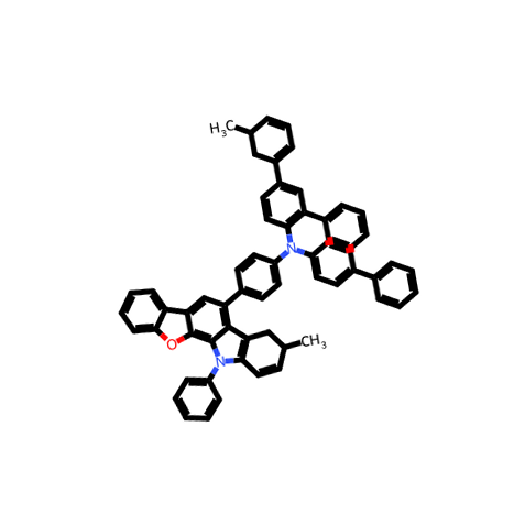 CC1C=CC=C(c2ccc(N(c3ccc(-c4ccccc4)cc3)c3ccc(-c4cc5c6ccccc6oc5c5c4c4c(n5-c5ccccc5)C=CC(C)C4)cc3)c(-c3ccccc3)c2)C1